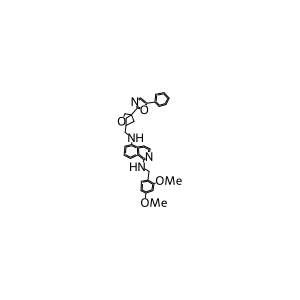 COc1ccc(CNc2nccc3c(NCC45CC(c6ncc(-c7ccccc7)o6)(CO4)C5)cccc23)c(OC)c1